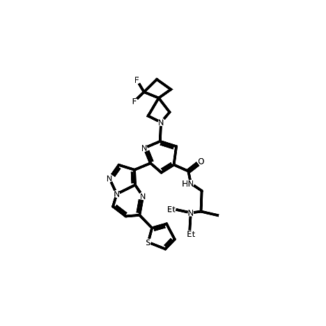 CCN(CC)C(C)CNC(=O)c1cc(-c2cnn3ccc(-c4cccs4)nc23)nc(N2CC3(CCC3(F)F)C2)c1